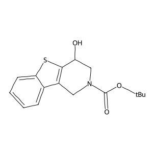 CC(C)(C)OC(=O)N1Cc2c(sc3ccccc23)C(O)C1